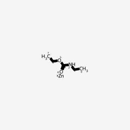 CCNC(=O)OCC.[Zn]